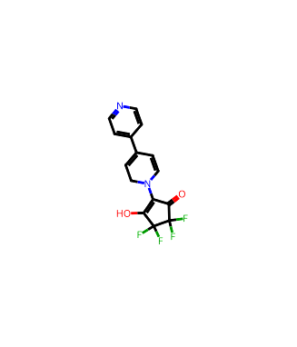 O=C1C(N2C=CC(c3ccncc3)=CC2)=C(O)C(F)(F)C1(F)F